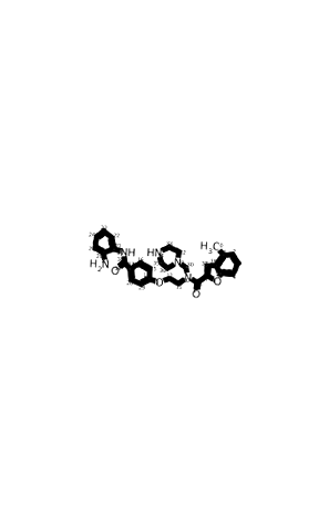 Cc1cccc2oc(C(=O)N(CCOc3ccc(C(=O)Nc4ccccc4N)cc3)CN3CCNCC3)cc12